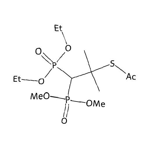 CCOP(=O)(OCC)C(C(C)(C)SC(C)=O)P(=O)(OC)OC